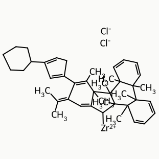 CC(C)=C1C=C2[CH]([Zr+2])C3(C)C4(C)C=CC=CC4(C)C4(C)C=CC=CC4(C)C3(C)C2(C)C(C)=C1C1=CC(C2CCCCC2)=CC1.[Cl-].[Cl-]